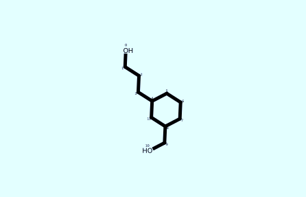 OCCCC1CCCC(CO)C1